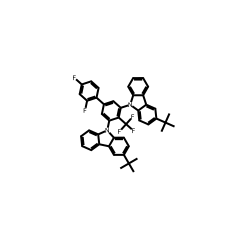 CC(C)(C)c1ccc2c(c1)c1ccccc1n2-c1cc(-c2ccc(F)cc2F)cc(-n2c3ccccc3c3cc(C(C)(C)C)ccc32)c1C(F)(F)F